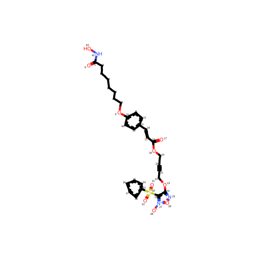 O=C(CCCCCCCOc1ccc(C=CC(=O)OCC#CCOc2no[n+]([O-])c2S(=O)(=O)c2ccccc2)cc1)NO